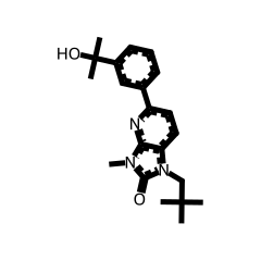 Cn1c(=O)n(CC(C)(C)C)c2ccc(-c3cccc(C(C)(C)O)c3)nc21